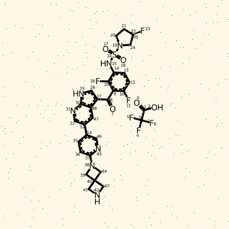 O=C(O)C(F)(F)F.O=C(c1c(F)ccc(NS(=O)(=O)N2CC[C@@H](F)C2)c1F)c1c[nH]c2ncc(-c3ccc(N4CC5(CNC5)C4)nc3)cc12